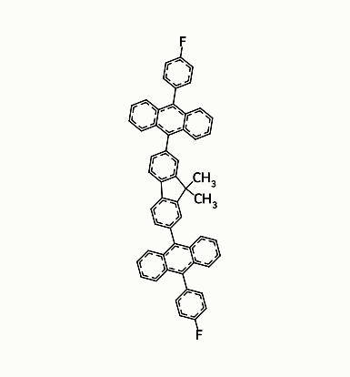 CC1(C)c2cc(-c3c4ccccc4c(-c4ccc(F)cc4)c4ccccc34)ccc2-c2ccc(-c3c4ccccc4c(-c4ccc(F)cc4)c4ccccc34)cc21